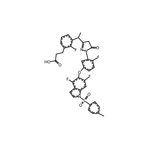 Cc1ccc(S(=O)(=O)n2ccc3c(F)c(Oc4ccc(F)c(N5N=C(C(C)c6cccc(CCC(=O)O)c6F)CC5=O)c4)c(F)cc32)cc1